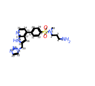 CN(CCCN)S(=O)(=O)c1ccc(-c2ccnc3[nH]c(Cn4ccnn4)cc23)cc1